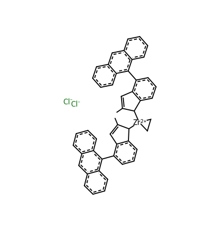 CC1=Cc2c(-c3c4ccccc4cc4ccccc34)cccc2[CH]1[Zr+2]1([CH]2C(C)=Cc3c(-c4c5ccccc5cc5ccccc45)cccc32)[CH2][CH2]1.[Cl-].[Cl-]